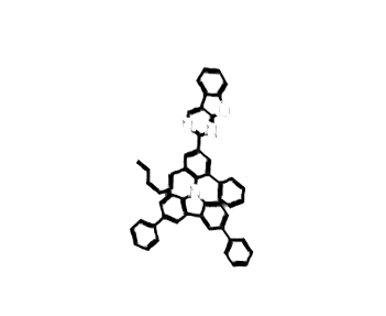 C=C/C=C\C=C\c1cc(-c2ncc3c(n2)oc2ccccc23)cc(-c2ccccc2)c1-n1c2ccc(-c3ccccc3)cc2c2cc(-c3ccccc3)ccc21